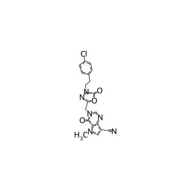 Cn1cc(C#N)c2ncn(Cc3nn(CCc4ccc(Cl)cc4)c(=O)o3)c(=O)c21